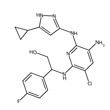 Nc1cc(Cl)c(NC(CO)c2ccc(F)cc2)nc1Nc1cc(C2CC2)[nH]n1